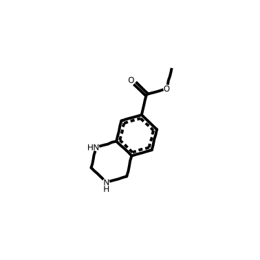 COC(=O)c1ccc2c(c1)NCNC2